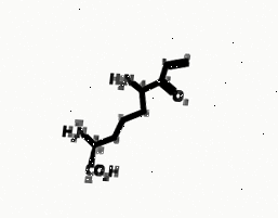 C=CC(=O)C(N)CCC[C@H](N)C(=O)O